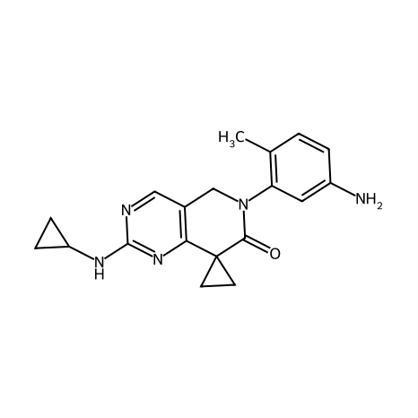 Cc1ccc(N)cc1N1Cc2cnc(NC3CC3)nc2C2(CC2)C1=O